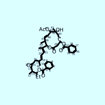 CCC(OC(=O)c1ccccc1)C(C)C1OC1CC(C)/C=C/C=C(\C)C1OC(=O)CC(OC(=O)c2ccccc2)CCC(C)(O)C(OC(C)=O)/C=C/C1C